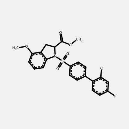 COC(=O)C1Cc2c(OC)cccc2N1S(=O)(=O)c1ccc(-c2ccc(F)cc2Cl)cc1